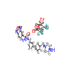 O=C(NCc1cccc(-c2cccc(CN3CCNCC3)c2)c1)c1ccc2nonc2c1.O=C(O)C(F)(F)F.O=C(O)C(F)(F)F